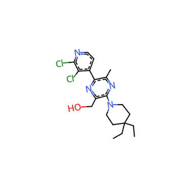 CCC1(CC)CCN(c2nc(C)c(-c3ccnc(Cl)c3Cl)nc2CO)CC1